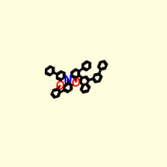 c1ccc(-c2ccc(N(c3cccc4c3oc3ccccc34)c3ccc(-c4ccccc4)c4c3oc3c5ccccc5c(-c5cccc(-c6ccccc6)c5)cc34)cc2)cc1